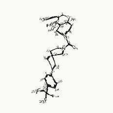 O=C1CO[C@H]2CCN(C(=O)N3CCC4(CC(c5ccc(C(F)(F)F)cc5)C4)C3)C[C@H]2N1